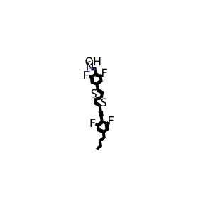 CCCCc1cc(F)c(C#Cc2cc3sc(-c4cc(F)c(/C=N/O)c(F)c4)cc3s2)c(F)c1